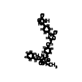 CCS(=O)(=O)C(N)(Cc1ccc(OCC2CN(c3ccc(-c4noc(=O)[nH]4)cc3)C(=O)O2)cc1)C(=O)OCc1ccccc1